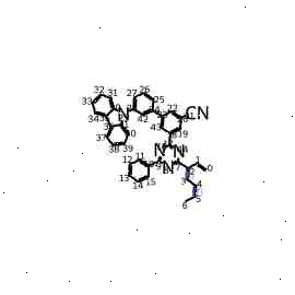 C=C/C(=C\C=C/C)c1nc(-c2ccccc2)nc(-c2cc(C#N)cc(-c3cccc(-n4c5ccccc5c5ccccc54)c3)c2)n1